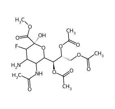 COC(=O)[C@@]1(O)OC([C@H](OC(C)=O)[C@@H](COC(C)=O)OC(C)=O)C(NC(C)=O)C(N)C1F